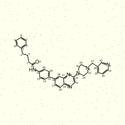 O=C(CCCc1ccccc1)Nc1ccc(-c2ccc3ncc(N4CCN(Cc5cccnc5)CC4)nc3c2)cc1